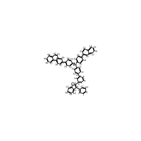 c1ccc(-c2c(-c3cccc(-c4ccc(N(c5ccc(-c6ccc7ccccc7c6)cc5)c5ccc(-c6ccc7c(ccc8ccccc87)c6)cc5)cc4)c3)oc3ccccc23)cc1